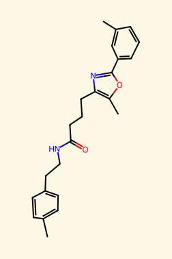 Cc1ccc(CCNC(=O)CCCc2nc(-c3cccc(C)c3)oc2C)cc1